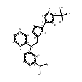 CN(C)c1nccc(N(Cc2ccc(-c3noc(C(F)(F)F)n3)s2)c2cnccn2)n1